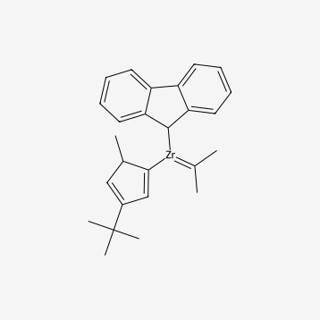 C[C](C)=[Zr]([C]1=CC(C(C)(C)C)=CC1C)[CH]1c2ccccc2-c2ccccc21